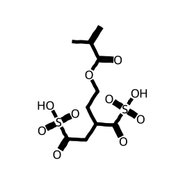 C=C(C)C(=O)OCCC(CC(=O)S(=O)(=O)O)C(=O)S(=O)(=O)O